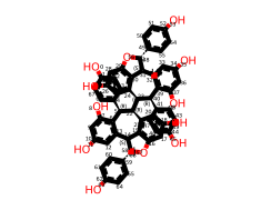 Oc1ccc([C@@H]2c3c(O)cc(O)cc3[C@H]3c4c(cc(O)cc4[C@@H]2[C@H]2c4cc(O)cc5c4[C@H](c4cc(O)cc(O)c4[C@H]2c2ccc(O)cc2)[C@@H](c2ccc(O)cc2)O5)O[C@@H]3c2ccc(O)cc2)cc1